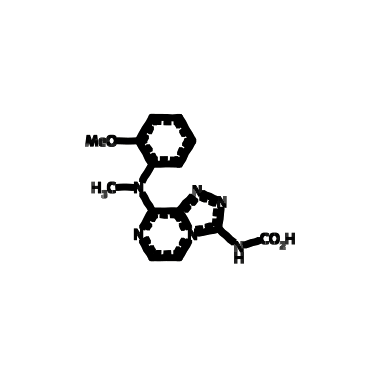 COc1ccccc1N(C)c1nccn2c(NC(=O)O)nnc12